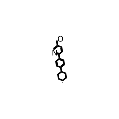 O=Cc1ccc(-c2ccc(C3CC[CH]CC3)cc2)nc1